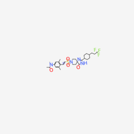 CC(=O)N(C)c1cc(C)c(/C=C/S(=O)(=O)N2CCC3(CC2)N=C(C2CCC(CCC(F)(F)F)CC2)NC3=O)c(C)c1